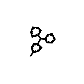 [CH2]c1ccc(C(c2ccccc2)c2ccccc2)cc1